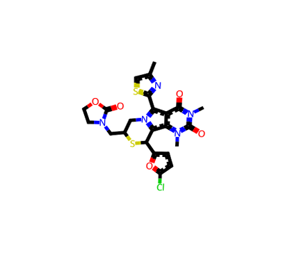 Cc1csc(-c2c3c(=O)n(C)c(=O)n(C)c3c3n2CC(CN2CCOC2=O)SC3c2ccc(Cl)o2)n1